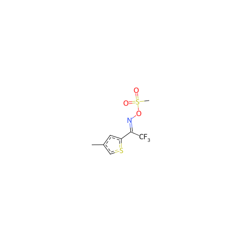 Cc1csc(C(=NOS(C)(=O)=O)C(F)(F)F)c1